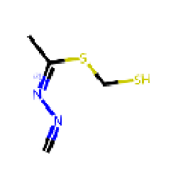 C=N/N=C(/C)SCS